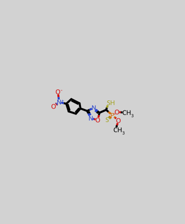 COP(=S)(OC)C(S)c1nc(-c2ccc([N+](=O)[O-])cc2)no1